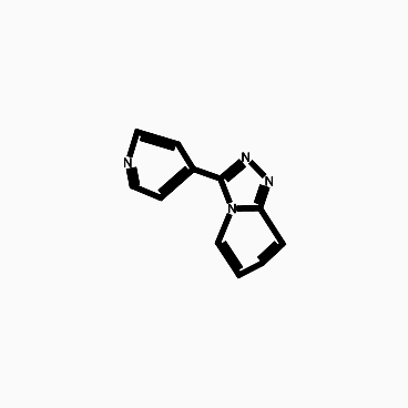 c1ccn2c(-c3ccncc3)nnc2c1